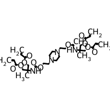 C=CC(=O)OCC(C)(COC(=O)C=C)NC(=C)OCCN1CCN(CCOC(=O)NC(C)(COC(=O)C=C)COC(=O)C=C)CC1